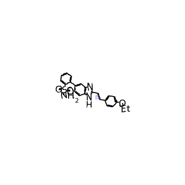 CCOc1ccc(/C=C/c2nc3cc(-c4ccccc4S(N)(=O)=O)ccc3[nH]2)cc1